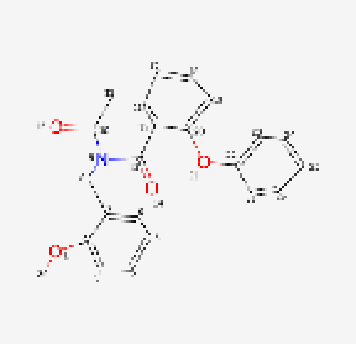 COc1ccccc1CN(C(C)=O)C(=O)c1ccccc1Oc1ccccc1